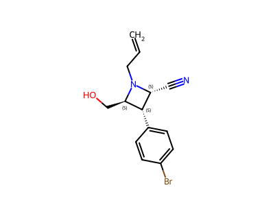 C=CCN1[C@H](C#N)[C@H](c2ccc(Br)cc2)[C@H]1CO